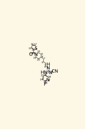 N#C/N=C(\NCCCCC1CCN(C(=O)c2cccs2)CC1)Nc1ccc(F)nc1